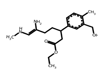 CCOC(=O)CC(CC/C(N)=C/NC)c1ccc(C)c(CO)c1